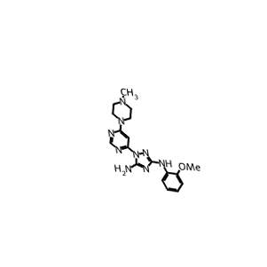 COc1ccccc1Nc1nc(N)n(-c2cc(N3CCN(C)CC3)ncn2)n1